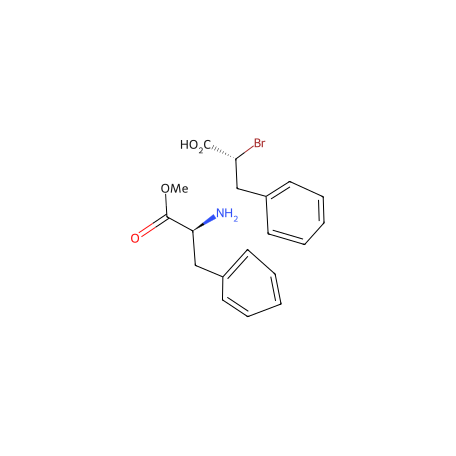 COC(=O)[C@@H](N)Cc1ccccc1.O=C(O)[C@H](Br)Cc1ccccc1